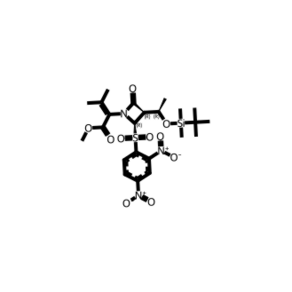 COC(=O)C(=C(C)C)N1C(=O)[C@@H]([C@@H](C)O[Si](C)(C)C(C)(C)C)[C@H]1S(=O)(=O)c1ccc([N+](=O)[O-])cc1[N+](=O)[O-]